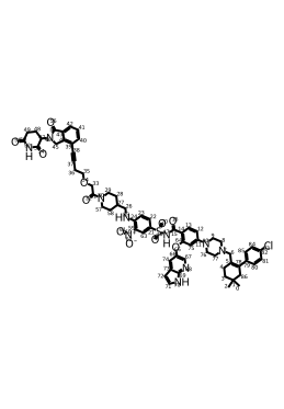 CC1(C)CCC(CN2CCN(c3ccc(C(=O)NS(=O)(=O)c4ccc(NCC5CCN(C(=O)COCCC#Cc6cccc7c6CN(C6CCC(=O)NC6=O)C7=O)CC5)c([N+](=O)[O-])c4)c(Oc4cnc5[nH]ccc5c4)c3)CC2)=C(c2ccc(Cl)cc2)C1